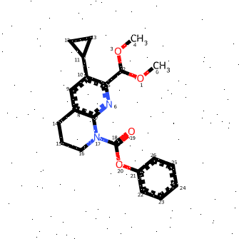 COC(OC)c1nc2c(cc1C1CC1)CCCN2C(=O)Oc1ccccc1